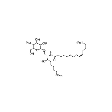 CCCCC/C=C\C/C=C\CCCCCCCC(=O)N[C@@H](COC1OC(CO)C(O)C(O)C1O)[C@H](O)CCCCCCCCCCCCCCC